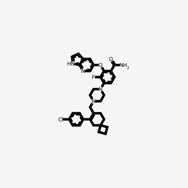 NC(=O)c1ccc(N2CCN(CC3=C(c4ccc(Cl)cc4)CC4(CCC4)CC3)CC2)c(F)c1Oc1cnc2[nH]ccc2c1